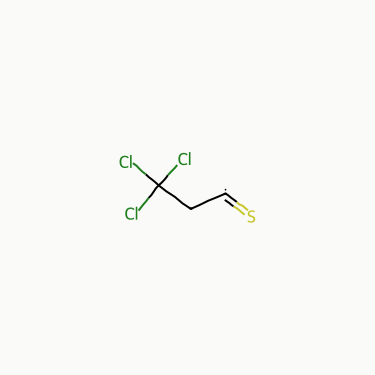 S=[C]CC(Cl)(Cl)Cl